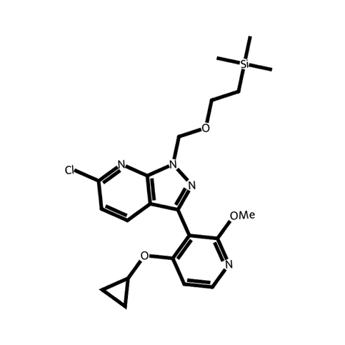 COc1nccc(OC2CC2)c1-c1nn(COCC[Si](C)(C)C)c2nc(Cl)ccc12